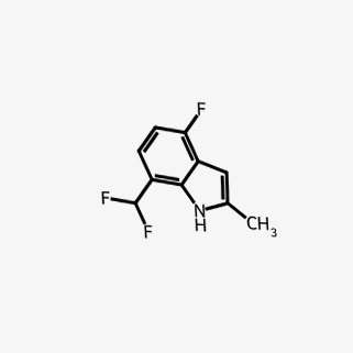 Cc1cc2c(F)ccc(C(F)F)c2[nH]1